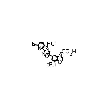 CC(C)(C)c1cc(C(=O)CN2Cc3ccc(C4CC4)nc3C2=N)cc2c1OCCN2CC(=O)O.Cl